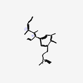 C#P(C)CCc1cc(/C(C=C)=C(C)/C(C)=C\C)cc(C)c1C